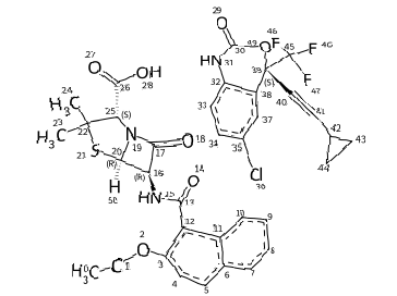 CCOc1ccc2ccccc2c1C(=O)N[C@@H]1C(=O)N2[C@@H]1SC(C)(C)[C@@H]2C(=O)O.O=C1Nc2ccc(Cl)cc2[C@@](C#CC2CC2)(C(F)(F)F)O1